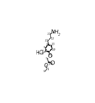 CCOC(=O)COc1ccc(CCCN)cc1.Cl